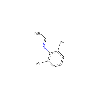 CCCCC=Nc1c(C(C)C)cccc1C(C)C